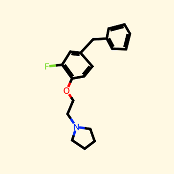 Fc1cc(Cc2ccccc2)ccc1OCCN1CCCC1